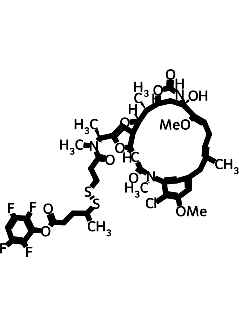 CO/C1=C\C/C=C(\C)Cc2cc(OC)c(Cl)c(c2)N(C)C(=O)C[C@@H]2OC([C@H](C)N(C)C(=O)CCSSC(C)CCC(=O)Oc3c(F)c(F)cc(F)c3F)=C[C@]23O[C@H]3[C@H](C)[C@@H]2C[C@@]1(O)NC(=O)O2